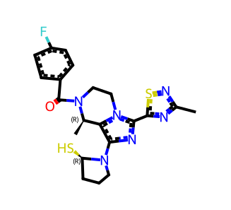 Cc1nsc(-c2nc(N3CCC[C@H]3S)c3n2CCN(C(=O)c2ccc(F)cc2)[C@@H]3C)n1